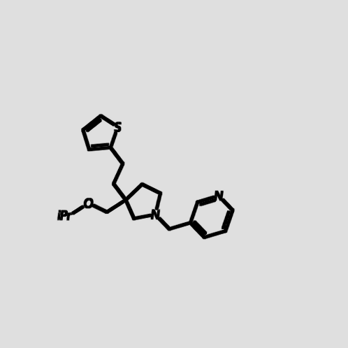 CC(C)OCC1(CCc2cccs2)CCN(Cc2cccnc2)C1